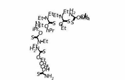 C.C.C.CC.CCC.CCC.CCCOC(=S)N(CC)CC.CCN(CC)C(=S)OC(C)C.CCOC(=S)N(CC)CC.CCOC(N)=S.COC(N)=S.NC(O)=S